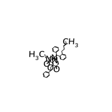 C/C=C/CCc1ccccc1C(c1ccccc1)N1CN(CCC)C(=O)c2c(OCc3ccccc3)c(=O)ccn21